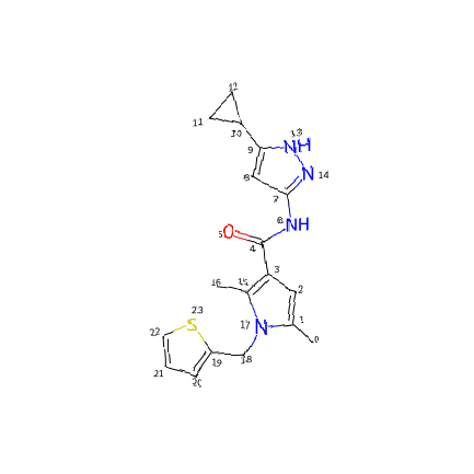 Cc1cc(C(=O)Nc2cc(C3CC3)[nH]n2)c(C)n1Cc1cccs1